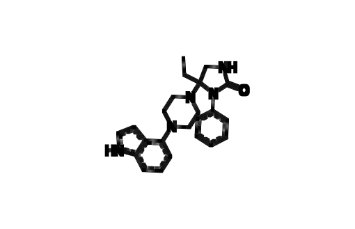 CCC1(N2CCN(c3cccc4[nH]ccc34)CC2)CNC(=O)N1c1ccccc1